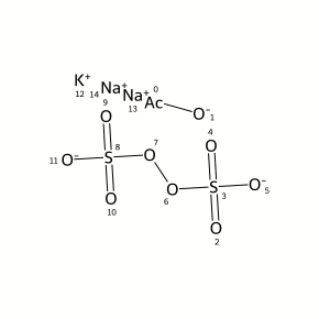 CC(=O)[O-].O=S(=O)([O-])OOS(=O)(=O)[O-].[K+].[Na+].[Na+]